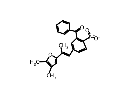 C/C(=C\c1ccc([N+](=O)[O-])c(C(=O)c2ccccc2)c1)c1cc(C)c(C)o1